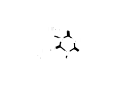 O.O=c1[nH]c(=O)n(Cl)c(=O)n1Cl.[NaH].[NaH]